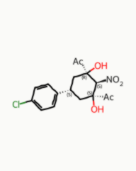 CC(=O)[C@]1(O)C[C@H](c2ccc(Cl)cc2)C[C@](O)(C(C)=O)[C@H]1[N+](=O)[O-]